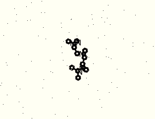 c1ccc(-c2cc(-c3ccccc3)nc(-n3c4ccccc4c4cc(-c5ccc6c7ccccc7n(-c7cccc(-c8ccc9c(c8)c8ncccc8n9-c8ccccc8)c7)c6c5)ccc43)c2)cc1